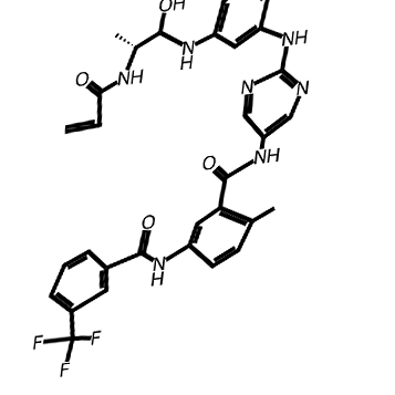 C=CC(=O)N[C@H](C)C(O)Nc1cccc(Nc2ncc(NC(=O)c3cc(NC(=O)c4cccc(C(F)(F)F)c4)ccc3C)cn2)c1